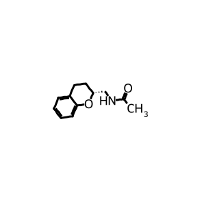 CC(=O)NC[C@H]1CCc2ccccc2O1